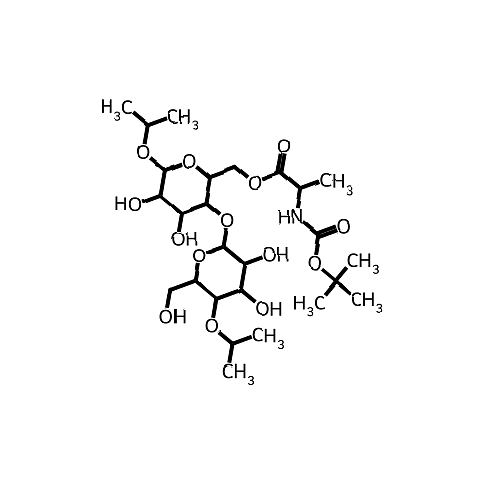 CC(C)OC1OC(COC(=O)C(C)NC(=O)OC(C)(C)C)C(OC2OC(CO)C(OC(C)C)C(O)C2O)C(O)C1O